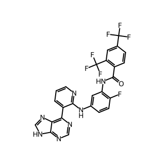 O=C(Nc1cc(Nc2ncccc2-c2ncnc3[nH]cnc23)ccc1F)c1ccc(C(F)(F)F)cc1C(F)(F)F